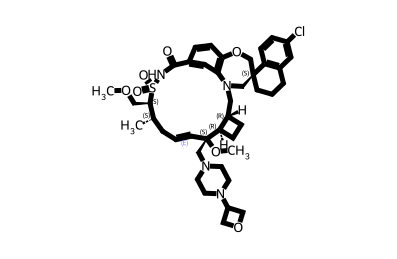 COC[C@@H]1[C@@H](C)C/C=C/[C@@](CN2CCN(C3COC3)CC2)(OC)[C@@H]2CC[C@H]2CN2C[C@@]3(CCCc4cc(Cl)ccc43)COc3ccc(cc32)C(=O)NS1(=O)=O